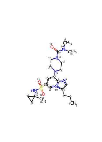 CCCc1cnc2c(N3CCN(C(=O)N(C)C)CC3)cc(S(=O)(=O)NC3(C)CC3)cn12